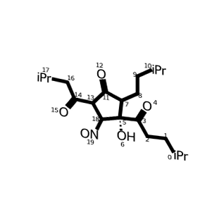 CC(C)CCC(=O)[C@]1(O)C(CCC(C)C)C(=O)C(C(=O)CC(C)C)C1N=O